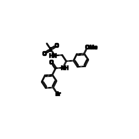 COc1cccc(C(CNS(C)(=O)=O)NC(=O)c2cccc(Br)c2)c1